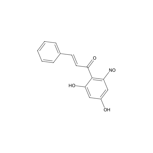 O=Nc1cc(O)cc(O)c1C(=O)/C=C/c1ccccc1